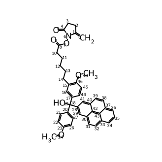 C=C1CCC(=O)N1OC(=O)CCCCCc1cc(C(O)(c2ccc(OC)cc2)c2cc3ccc4cccc5ccc(c2)c3c45)ccc1OC